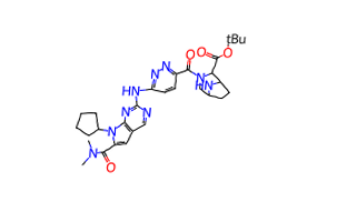 CN(C)C(=O)c1cc2cnc(Nc3ccc(C(=O)N4CC5CCC(N5)C4C(=O)OC(C)(C)C)nn3)nc2n1C1CCCC1